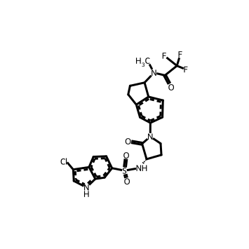 CN(C(=O)C(F)(F)F)C1CCc2cc(N3CC[C@H](NS(=O)(=O)c4ccc5c(Cl)c[nH]c5c4)C3=O)ccc21